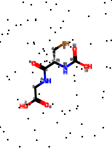 O=C(O)CNC(=O)[C@H](CS)NC(=O)O